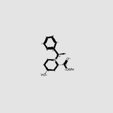 COC(=O)[C@@H]1C[C@H](O)CCN1[C@H](C)c1ccccc1